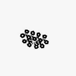 C1=CC2SC3=C(C2C=C1)N(c1ccccc1)c1cc(N(c2ccccc2)c2ccccc2)cc2c1B3c1cc3c(cc1N2c1ccccc1)N(c1ccccc1)c1cc(N(c2ccccc2)c2ccccc2)cc2c1B3c1sc3ccccc3c1N2c1ccccc1